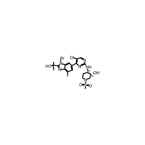 CC(C)n1c(C(C)(C)O)nc2c(F)cc(-c3nc(N[C@@H]4CCN(S(C)(=O)=O)C[C@H]4O)ncc3Cl)cc21